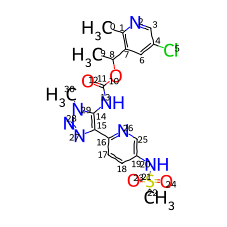 Cc1ncc(Cl)cc1C(C)OC(=O)Nc1c(-c2ccc(NS(C)(=O)=O)cn2)nnn1C